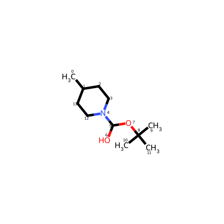 CC1CCN(C(O)OC(C)(C)C)CC1